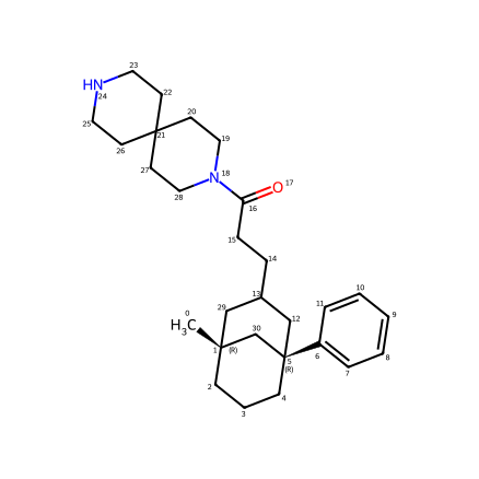 C[C@@]12CCC[C@@](c3ccccc3)(CC(CCC(=O)N3CCC4(CCNCC4)CC3)C1)C2